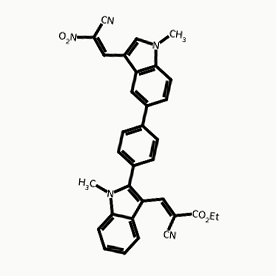 CCOC(=O)/C(C#N)=C/c1c(-c2ccc(-c3ccc4c(c3)c(/C=C(\C#N)[N+](=O)[O-])cn4C)cc2)n(C)c2ccccc12